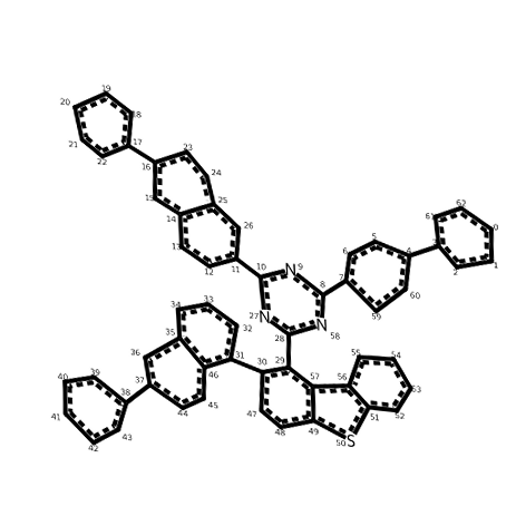 c1ccc(-c2ccc(-c3nc(-c4ccc5cc(-c6ccccc6)ccc5c4)nc(-c4c(-c5cccc6cc(-c7ccccc7)ccc56)ccc5sc6ccccc6c45)n3)cc2)cc1